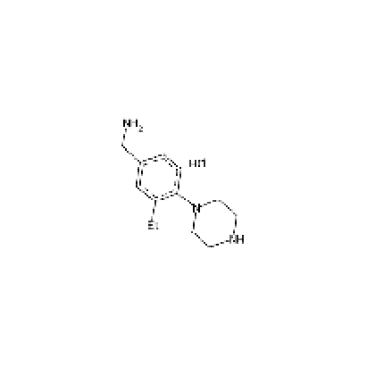 CCc1cc(CN)ccc1N1CCNCC1.Cl